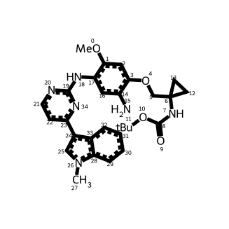 COc1cc(OCC2(NC(=O)OC(C)(C)C)CC2)c(N)cc1Nc1nccc(-c2cn(C)c3ccccc23)n1